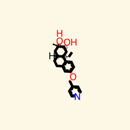 CC[C@@]12C[C@H](O)[C@@](C)(O)C[C@H]1CCc1cc(OCc3ccncc3)ccc12